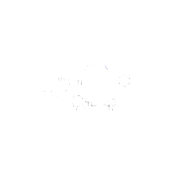 CCOC(=O)[C@@H](OC(C)(C)C)c1c(C)nc2cc3nn2c1N1CCC(C)(CC1)OC/C=C/Cc1ccccc1Cc1cnc-3s1